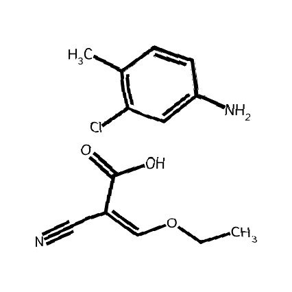 CCO/C=C(/C#N)C(=O)O.Cc1ccc(N)cc1Cl